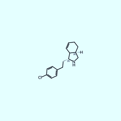 Clc1ccc(CC[C@H]2NC[C@@H]3CCC=CC32)cc1